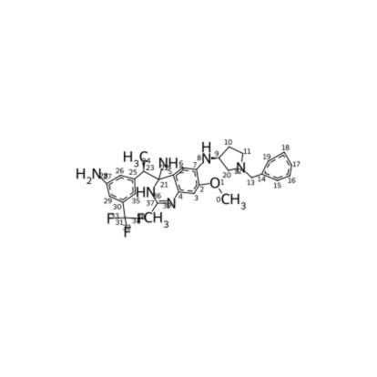 COc1cc2c(cc1N[C@H]1CCN(Cc3ccccc3)C1)C(N)([C@H](C)c1cc(N)cc(C(F)(F)F)c1)NC(C)=N2